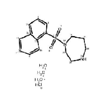 Cl.O.O.O.O=S(=O)(c1cccc2cnccc12)N1CCCNCC1